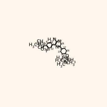 CC(C)(C)OC(=O)c1ccc(-c2nc(C3CCC(O[Si](C)(C)C(C)(C)C)CC3)cnc2N)cc1F